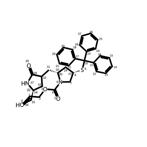 C=CCOC(=O)N1C[C@@H](SC(c2ccccc2)(c2ccccc2)c2ccccc2)C[C@H]1CC1C[C@@H](CO)NC1=O